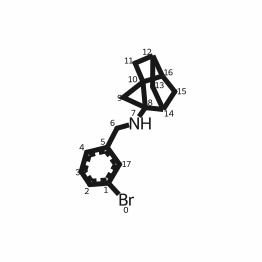 Brc1cccc(CNC23CC24CC2CC3CC24)c1